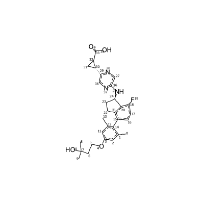 Cc1cc(OCCC(C)(C)O)cc(C)c1-c1ccc(F)c2c1CC[C@H]2Nc1cnc([C@@H]2CC2C(=O)O)cn1